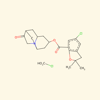 CC1(C)Cc2cc(Cl)cc(C(=O)OC3CC4CC5CC(C3)N4CC5=O)c2O1.O=C(O)Cl